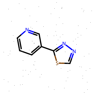 c1cncc(-c2nncs2)c1